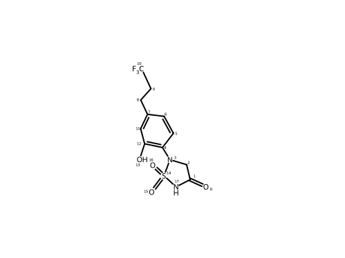 O=C1CN(c2ccc(CCC(F)(F)F)cc2O)S(=O)(=O)N1